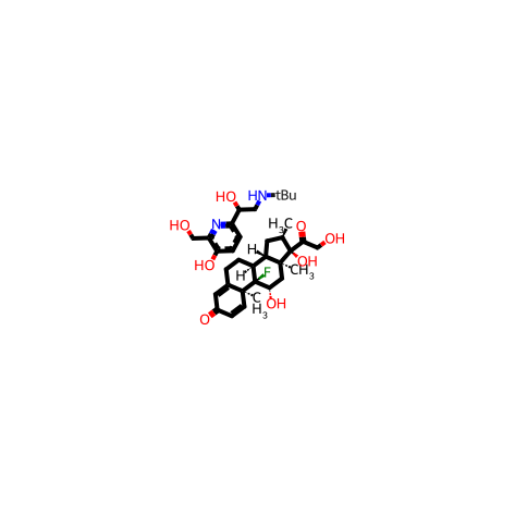 CC(C)(C)NCC(O)c1ccc(O)c(CO)n1.C[C@@H]1C[C@H]2[C@@H]3CCC4=CC(=O)C=C[C@]4(C)[C@@]3(F)[C@@H](O)C[C@]2(C)[C@@]1(O)C(=O)CO